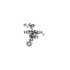 C#C[C@H](CC[S+](C)[O-])NC(=O)[C@H](CC(C)C)NC(=O)OCc1ccccc1